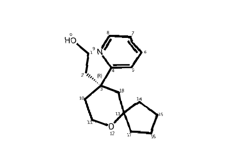 OCC[C@@]1(c2ccccn2)CCOC2(CCCC2)C1